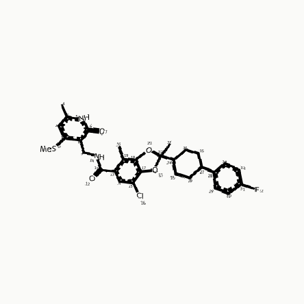 CSc1cc(C)[nH]c(=O)c1CNC(=O)c1cc(Cl)c2c(c1C)OC(C)(C1CCC(c3ccc(F)cc3)CC1)O2